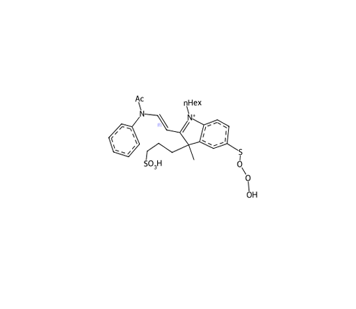 CCCCCC[N+]1=C(/C=C/N(C(C)=O)c2ccccc2)C(C)(CCCS(=O)(=O)O)c2cc(SOOO)ccc21